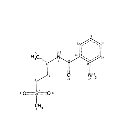 C[C@@H](CCS(C)(=O)=O)NC(=O)c1ccccc1N